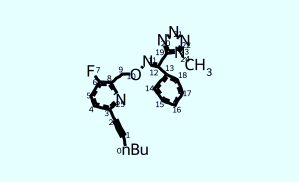 CCCCC#Cc1ccc(F)c(CO/N=C(\c2ccccc2)c2nnnn2C)n1